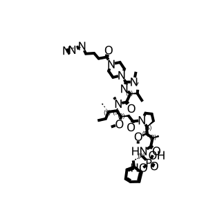 CC[C@H](C)[C@@H]([C@@H](CC(=O)N1CCC[C@H]1[C@H](OC)[C@@H](C)C(=O)N[C@@H](Cc1ccccc1)P(=O)(O)O)OC)N(C)C(=O)[C@@H](N=C(N(C)C)N1CCN(C(=O)CCCN=[N+]=[N-])CC1)C(C)C